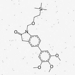 COc1cc(-c2ccc3c(c2)CC(=O)N3COCC[Si](C)(C)C)cc(OC)c1OC